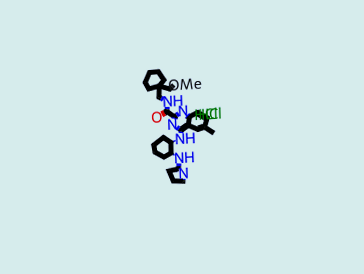 COCC1(CNC(=O)c2nc(N[C@H]3CCCC[C@H]3NC3=NCCC3)c3cc(C)ccc3n2)CCCCC1.Cl.Cl